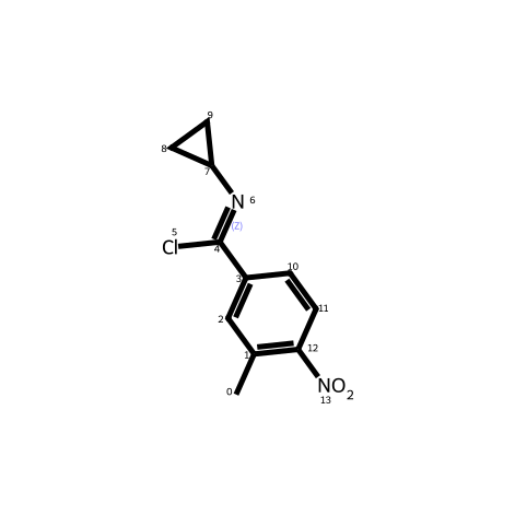 Cc1cc(/C(Cl)=N/C2CC2)ccc1[N+](=O)[O-]